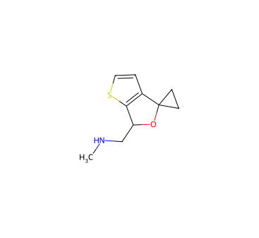 CNCC1OC2(CC2)c2ccsc21